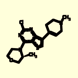 C[C@@H]1COCCN1c1nc(Cl)nc2c(C3=CCN(C)CC3)csc12